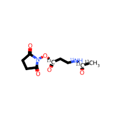 [13CH3][13C](=O)[15NH]CC[13C](=O)ON1C(=O)CCC1=O